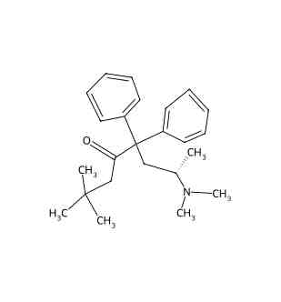 C[C@@H](CC(C(=O)CC(C)(C)C)(c1ccccc1)c1ccccc1)N(C)C